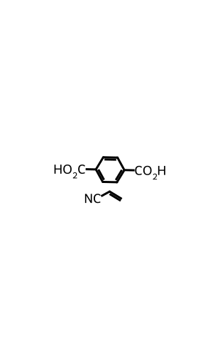 C=CC#N.O=C(O)c1ccc(C(=O)O)cc1